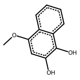 COc1cc(O)c(O)c2ccccc12